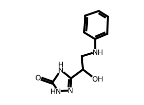 O=c1[nH]nc(C(O)CNc2ccccc2)[nH]1